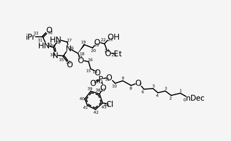 CCCCCCCCCCCCCCCCOCCCOP(=O)(OCCO[C@H](CCOC(O)OCC)N1CNC(NC(=O)C(C)C)=NC1=O)Oc1ccccc1Cl